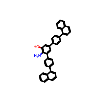 Nc1c(O)cc(-c2ccc(-c3cccc4ccccc34)cc2)cc1-c1ccc(-c2cccc3ccccc23)cc1